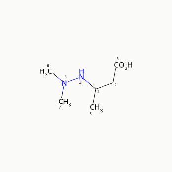 CC(CC(=O)O)NN(C)C